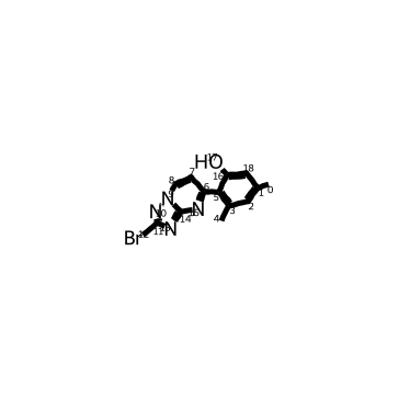 Cc1cc(C)c(-c2ccn3nc(Br)nc3n2)c(O)c1